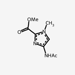 COC(=O)c1nc(NC(C)=O)cn1C